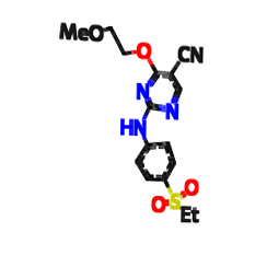 CCS(=O)(=O)c1ccc(Nc2ncc(C#N)c(OCCOC)n2)cc1